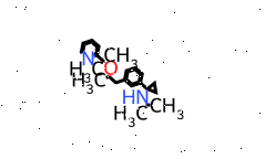 CC(C)NC1(c2cccc(CC(C)OC(C)(C)c3ccccn3)c2)CC1